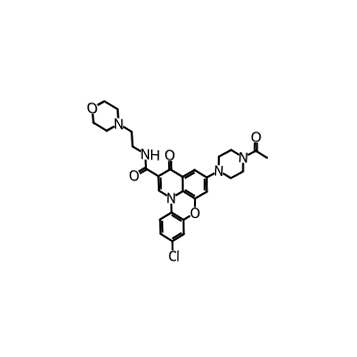 CC(=O)N1CCN(c2cc3c4c(c2)c(=O)c(C(=O)NCCN2CCOCC2)cn4-c2ccc(Cl)cc2O3)CC1